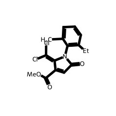 CCc1cccc(C)c1N1C(=O)C=C(C(=O)OC)C1=C(Cl)Cl